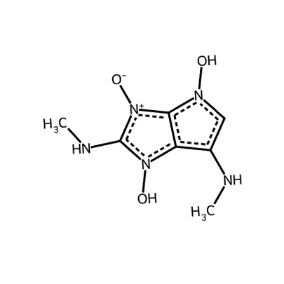 CNc1cn(O)c2c1n(O)c(NC)[n+]2[O-]